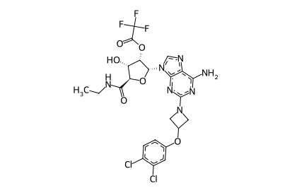 CCNC(=O)[C@@H]1O[C@@H](n2cnc3c(N)nc(N4CC(Oc5ccc(Cl)c(Cl)c5)C4)nc32)[C@@H](OC(=O)C(F)(F)F)[C@H]1O